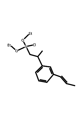 CC=Cc1cccc(C(C)C[Si](Cl)(OCC)OCC)c1